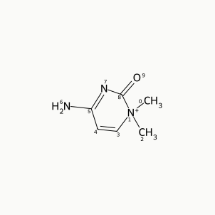 C[N+]1(C)C=CC(N)=NC1=O